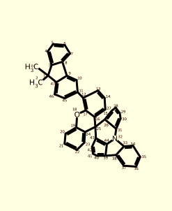 CC1(C)c2ccccc2-c2cc(-c3cccc4c3Oc3ccccc3C43c4ccccc4-n4c5ccccc5c5cccc3c54)ccc21